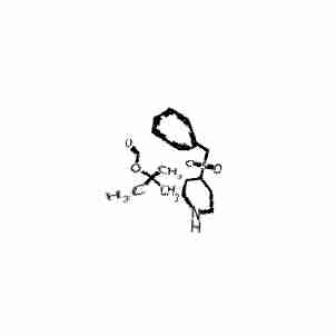 CC(C)(C)OC=O.O=S(=O)(Cc1ccccc1)C1CCNCC1